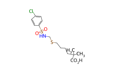 CC(C)(CCCCSCNS(=O)(=O)c1ccc(Cl)cc1)C(=O)O